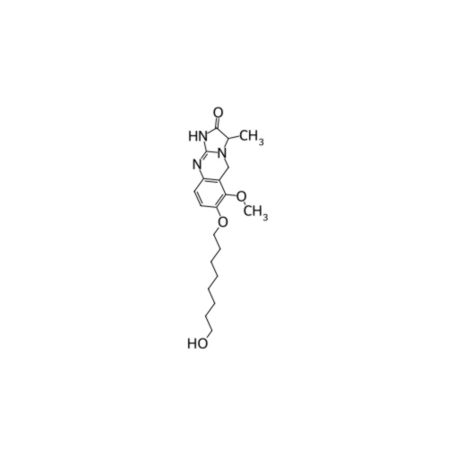 COc1c(OCCCCCCCCO)ccc2c1CN1C(=N2)NC(=O)C1C